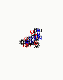 CC(C)(C)C(=O)CC(=Cc1ccccc1)C(=O)N[C@@H](Cc1c[nH]cn1)C(=O)N[C@@H](CC1CCCCC1)[C@@H](O)CN1C(=O)c2ccccc2C1=O